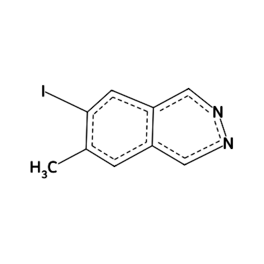 Cc1cc2cnncc2cc1I